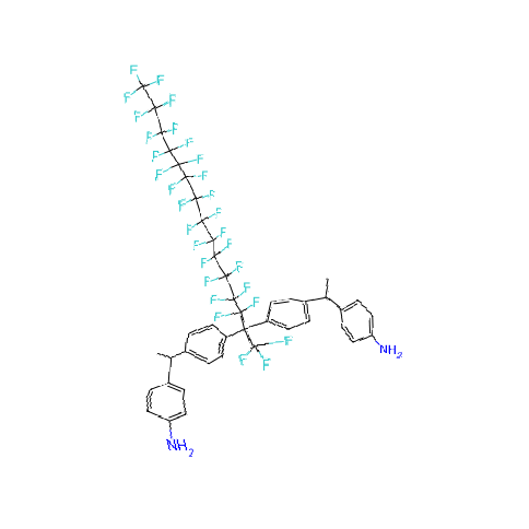 CC(c1ccc(N)cc1)c1ccc(C(c2ccc(C(C)c3ccc(N)cc3)cc2)(C(F)(F)F)C(F)(F)C(F)(F)C(F)(F)C(F)(F)C(F)(F)C(F)(F)C(F)(F)C(F)(F)C(F)(F)C(F)(F)C(F)(F)C(F)(F)C(F)(F)F)cc1